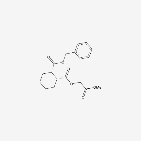 COC(=O)COC(=O)[C@@H]1CCCC[C@@H]1C(=O)OCc1ccccc1